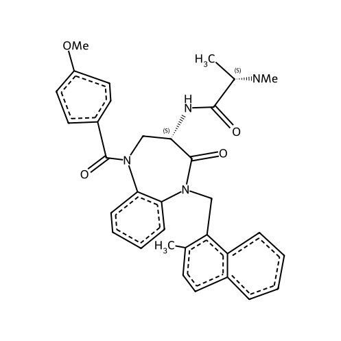 CN[C@@H](C)C(=O)N[C@H]1CN(C(=O)c2ccc(OC)cc2)c2ccccc2N(Cc2c(C)ccc3ccccc23)C1=O